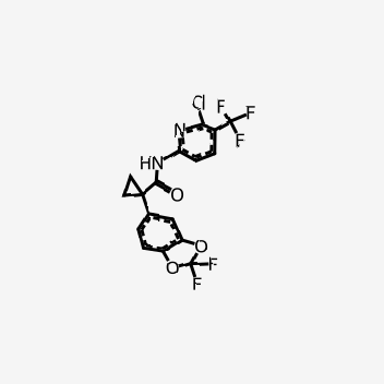 O=C(Nc1ccc(C(F)(F)F)c(Cl)n1)C1(c2ccc3c(c2)OC(F)(F)O3)CC1